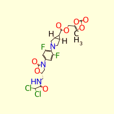 Cc1oc(=O)oc1COC(=O)C1[C@H]2CN(c3c(F)cc(N4C[C@H](CNC(=O)C(Cl)Cl)OC4=O)cc3F)C[C@@H]12